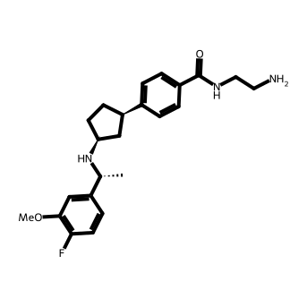 COc1cc([C@@H](C)N[C@H]2CC[C@@H](c3ccc(C(=O)NCCN)cc3)C2)ccc1F